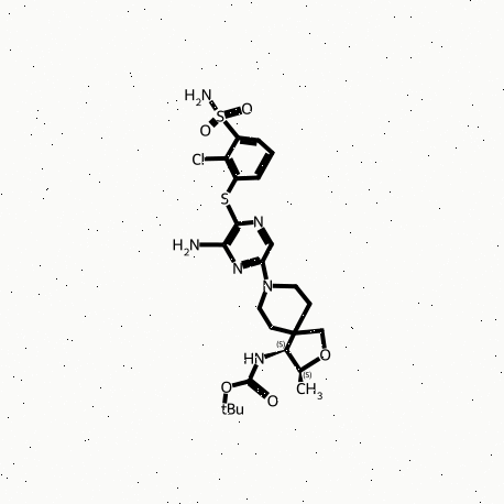 C[C@@H]1OCC2(CCN(c3cnc(Sc4cccc(S(N)(=O)=O)c4Cl)c(N)n3)CC2)[C@@H]1NC(=O)OC(C)(C)C